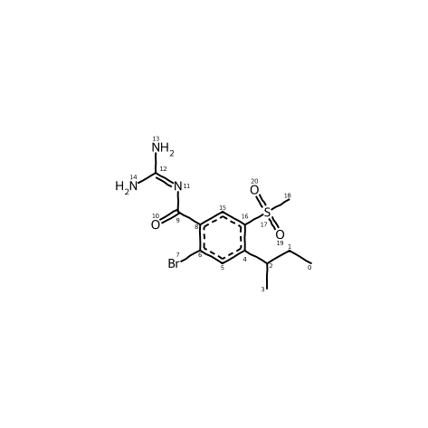 CCC(C)c1cc(Br)c(C(=O)N=C(N)N)cc1S(C)(=O)=O